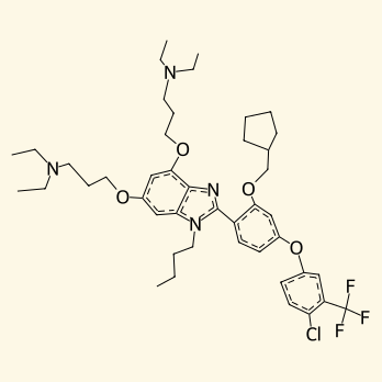 CCCCn1c(-c2ccc(Oc3ccc(Cl)c(C(F)(F)F)c3)cc2OCC2CCCC2)nc2c(OCCCN(CC)CC)cc(OCCCN(CC)CC)cc21